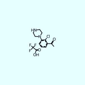 CC(=O)c1cccc(N2CCNCC2)c1Cl.O=C(O)C(F)(F)F